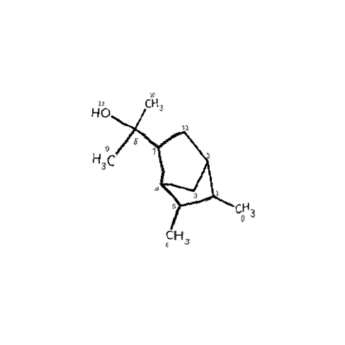 CC1C2CC(C1C)C(C(C)(C)O)C2